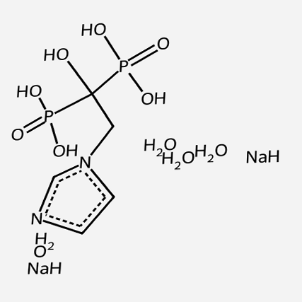 O.O.O.O.O=P(O)(O)C(O)(Cn1ccnc1)P(=O)(O)O.[NaH].[NaH]